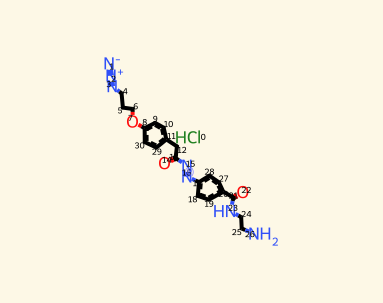 Cl.[N-]=[N+]=NCCCOc1ccc(CC(=O)/N=N/c2ccc(C(=O)NCCN)cc2)cc1